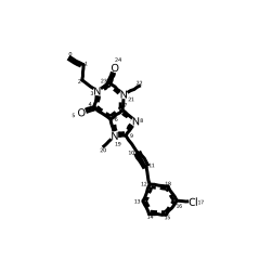 C=CCn1c(=O)c2c(nc(C#Cc3cccc(Cl)c3)n2C)n(C)c1=O